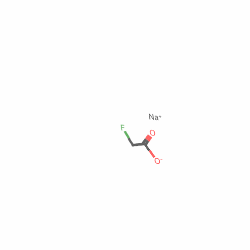 O=C([O-])CF.[Na+]